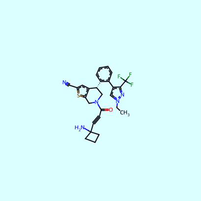 CCn1cc(-c2ccccc2[C@@H]2CN(C(=O)C#CC3(N)CCC3)Cc3sc(C#N)cc32)c(C(F)(F)F)n1